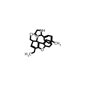 CCC1=CC(CC)C(N2CCNC2C2=CC=C(C)CC2)C2=C1OC1CC=CC=C21